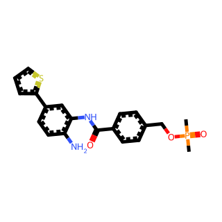 CP(C)(=O)OCc1ccc(C(=O)Nc2cc(-c3cccs3)ccc2N)cc1